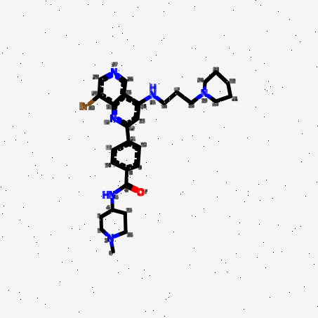 CN1CCC(NC(=O)c2ccc(-c3cc(NCCCN4CCCCC4)c4cncc(Br)c4n3)cc2)CC1